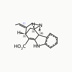 C/C=C1/CN2CC[C@]34C(=C(C(=O)O)[C@H]1C[C@H]23)Nc1ccccc14